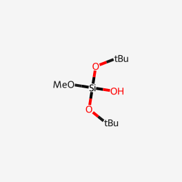 CO[Si](O)(OC(C)(C)C)OC(C)(C)C